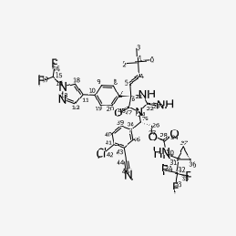 CC(C)(C)/C=C/[C@]1(c2ccc(-c3cnn(C(F)F)c3)cc2)NC(=N)N([C@H](COC(=O)NC2(C(F)(F)F)CC2)c2ccc(Cl)c(C#N)c2)C1=O